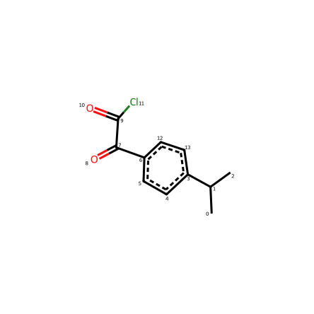 CC(C)c1ccc(C(=O)C(=O)Cl)cc1